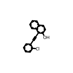 Oc1ccc2ccccc2c1C#Cc1ccccc1Cl